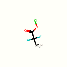 O=C(OCl)C(F)(F)S(=O)(=O)O